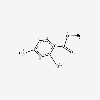 Cc1ccc(C(=O)OBr)c([N+](=O)[O-])c1